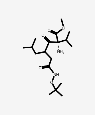 COC(=O)[C@](N)(C(=O)C(CC(=O)NOC(C)(C)C)CC(C)C)C(C)C